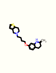 C=C1CCc2ccc(OCCCCN3CCc4sccc4C3)cc2N1